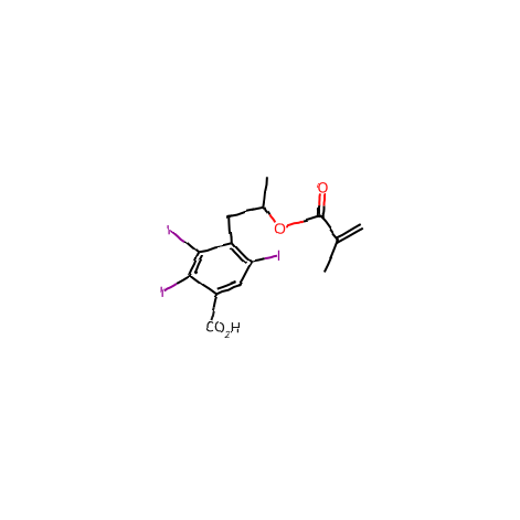 C=C(C)C(=O)OC(C)Cc1c(I)cc(C(=O)O)c(I)c1I